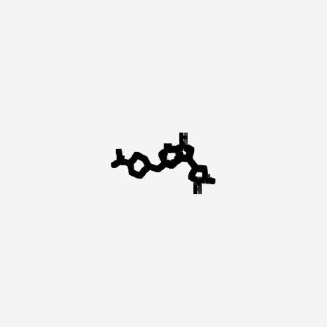 CN1C=C(c2c[nH]c3ncc(CC4CCC(N(C)C)CC4)cc23)CN1